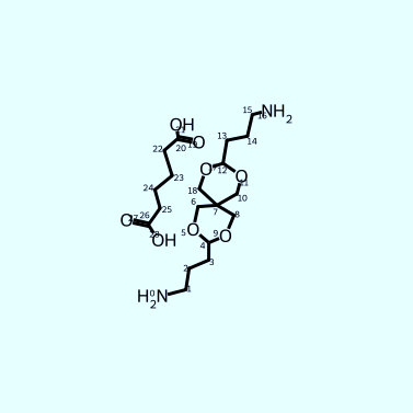 NCCCC1OCC2(CO1)COC(CCCN)OC2.O=C(O)CCCCC(=O)O